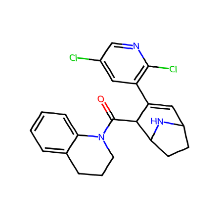 O=C(C1C(c2cc(Cl)cnc2Cl)=CC2CCC1N2)N1CCCc2ccccc21